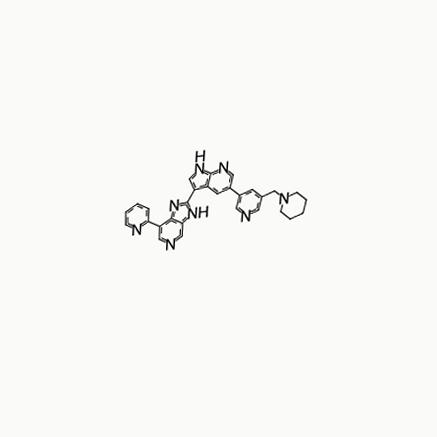 c1ccc(-c2cncc3[nH]c(-c4c[nH]c5ncc(-c6cncc(CN7CCCCC7)c6)cc45)nc23)nc1